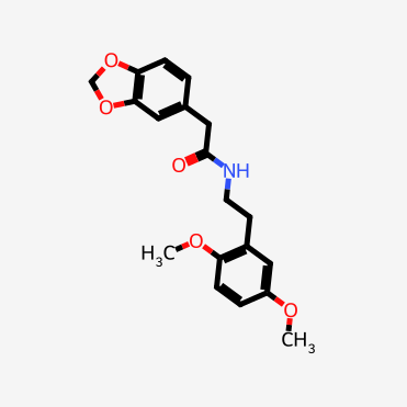 COc1ccc(OC)c(CCNC(=O)Cc2ccc3c(c2)OCO3)c1